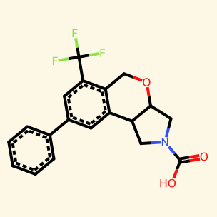 O=C(O)N1CC2OCc3c(cc(-c4ccccc4)cc3C(F)(F)F)C2C1